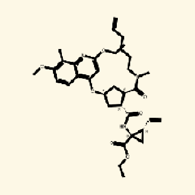 C=CCCCCN(C)C(=O)[C@@H]1C[C@H](Oc2cc(OCC)nc3c(C)c(OC)ccc23)C[C@H]1C(=O)N[C@]1(C(=O)OCC)C[C@H]1C=C